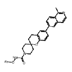 Cc1nccc2cc(-c3ccc4c(c3)CCC3(CCN(C(=O)NOC(C)C)CC3)O4)ccc12